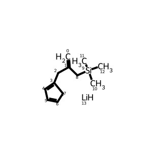 C=C(CC1=CC=C[CH]1)C[Si](C)(C)C.[LiH]